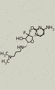 CN(C)CCCNC[C@H]1O[C@@H](n2ccc(N)nc2=O)C(F)(F)[C@@H]1O